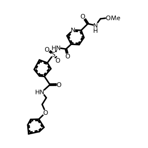 COCNC(=O)c1ccc(C(=O)NS(=O)(=O)c2cccc(C(=O)NCCOc3ccccc3)c2)cn1